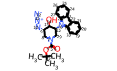 CC(C)(C)OC(=O)N1C[C@H](N=[N+]=[N-])[C@@H](O)[C@@H](n2c3ccccc3c3ccccc32)C1